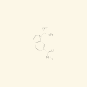 CCCC(CCC)n1ccc2ccc(C(N)=O)cc21